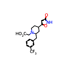 O=C(O)CN1CCC(c2cc(=O)[nH]o2)CC1Cc1cccc(C(F)(F)F)c1